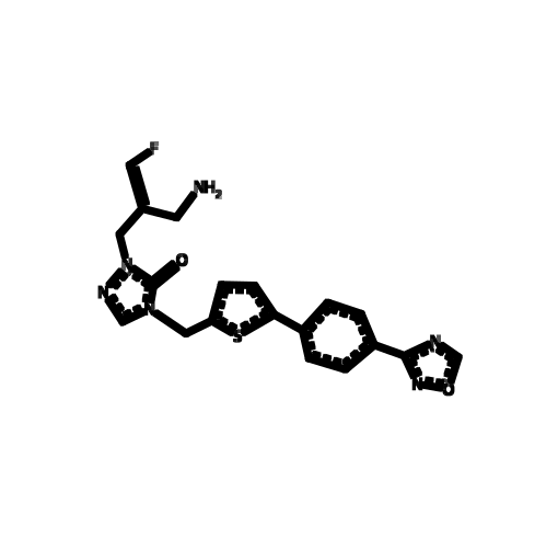 NC/C(=C\F)Cn1ncn(Cc2ccc(-c3ccc(-c4ncon4)cc3)s2)c1=O